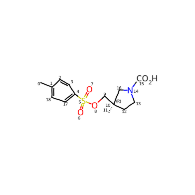 Cc1ccc(S(=O)(=O)OC[C@]2(C)CCN(C(=O)O)C2)cc1